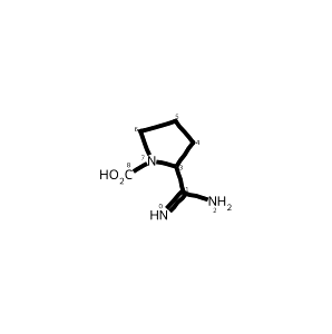 N=C(N)C1CCCN1C(=O)O